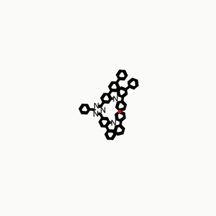 c1ccc(-c2ccc(-c3ccc(-c4nc(-c5ccccc5)nc(-c5ccc(-c6ccccc6)c(-n6c7ccccc7c7ccccc76)c5)n4)cc3-n3c4ccccc4c4cc(-c5ccccc5)ccc43)cc2)cc1